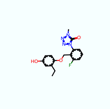 CCc1cc(O)ccc1OCc1c(F)cccc1-n1nnn(C)c1=O